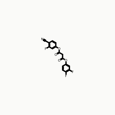 N#Cc1ccc(OC(=O)CC(=O)Oc2ccc(F)c(F)c2)cc1F